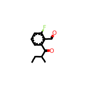 CCC(C)C(=O)c1cccc(F)c1C=O